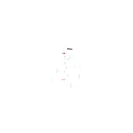 C=C(C)C(=O)NC[C@@H](O)[C@@H](O)[C@H](O)[C@@H](O)C=O